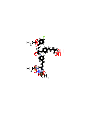 CC(=O)O[C@@H](CC[C@H]1C(=O)N(c2ccc(CCCC(CNS(C)(=O)=O)CNS(C)(=O)=O)cc2)[C@@H]1c1ccc(CCCC(CO)CO)cc1)c1ccc(F)cc1